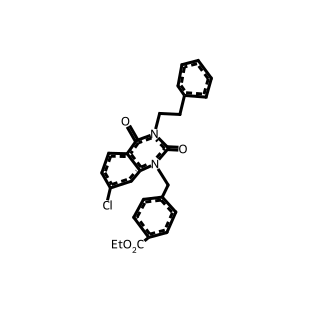 CCOC(=O)c1ccc(Cn2c(=O)n(CCc3ccccc3)c(=O)c3ccc(Cl)cc32)cc1